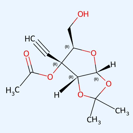 C#C[C@@]1(OC(C)=O)[C@@H](CO)O[C@@H]2OC(C)(C)O[C@@H]21